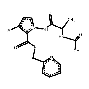 CC(NC(=O)O)C(=O)Nn1ccc(Br)c1C(=O)NCc1ccccn1